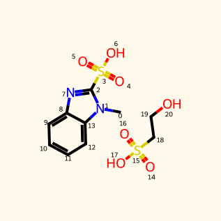 Cn1c(S(=O)(=O)O)nc2ccccc21.O=S(=O)(O)CCO